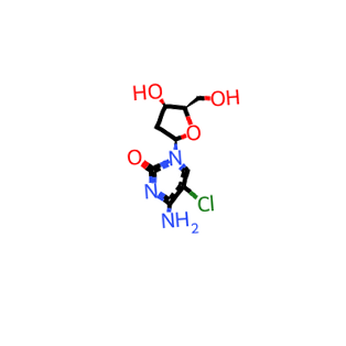 Nc1nc(=O)n([C@H]2C[C@@H](O)[C@@H](CO)O2)cc1Cl